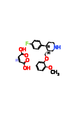 COc1ccccc1OC[C@H]1CNCC[C@@H]1c1ccc(F)cc1.O=C(O)/C=C\C(=O)O